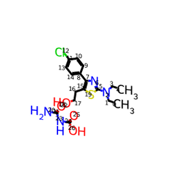 CCN(CC)c1nc(-c2ccc(Cl)cc2)c(CCO)s1.NC(=O)NC(=O)O